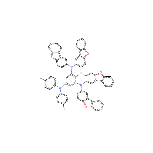 Cc1ccc(N(c2ccc(C)cc2)c2cc3c4c(c2)N(c2ccc5oc6ccccc6c5c2)c2cc5c(cc2B4c2cc4oc6ccccc6c4cc2N3c2ccc3oc4ccccc4c3c2)oc2ccccc25)cc1